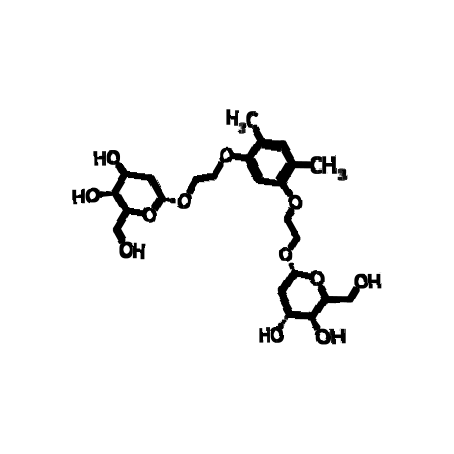 Cc1cc(C)c(OCCO[C@H]2C[C@@H](O)[C@H](O)C(CO)O2)cc1OCCO[C@H]1CC(O)[C@H](O)C(CO)O1